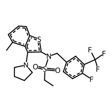 CCS(=O)(=O)N(Cc1ccc(F)c(C(F)(F)F)c1)c1sc2cccc(C)c2c1N1CCCC1